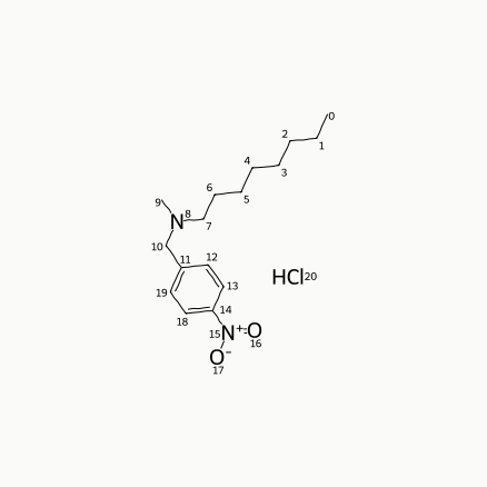 CCCCCCCCN(C)Cc1ccc([N+](=O)[O-])cc1.Cl